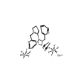 CC#N.CC#N.[F][Sb-]([F])([F])([F])([F])[F].[F][Sb-]([F])([F])([F])([F])[F].[Fe+2].c1ccc(CN2CCCC2C2CCCN2Cc2ccccn2)nc1